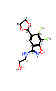 OCCNc1noc2c(F)c(F)c(C3OCCO3)cc12